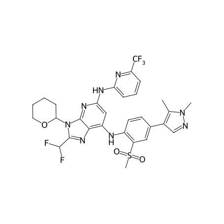 Cc1c(-c2ccc(Nc3cc(Nc4cccc(C(F)(F)F)n4)nc4c3nc(C(F)F)n4C3CCCCO3)c(S(C)(=O)=O)c2)cnn1C